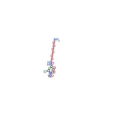 COc1cc2c(cc1-c1ccc(NC(=O)NCCOCCOCCOCCOCCOCCOCCN)cc1)-c1c(c(C(=O)N(C)C(C)(C)C)nn1-c1cc(Cl)cc(Cl)c1)CO2